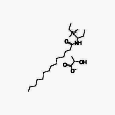 CC(O)C(=O)[O-].CCCCCCCCCCCCCC(=O)NC(CC)[N+](C)(C)CC